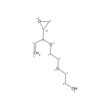 C=CC(OCCOCCO)C1CO1